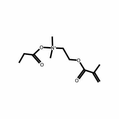 C=C(C)C(=O)OCC[N+](C)(C)OC(=O)CC